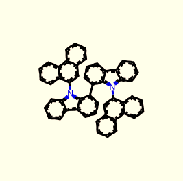 c1ccc2c(c1)cc(-n1c3ccccc3c3cccc(-c4cccc5c6ccccc6n(-c6cc7ccccc7c7ccccc67)c45)c31)c1ccccc12